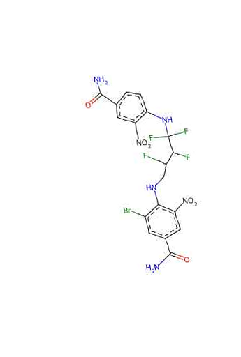 NC(=O)c1ccc(NC(F)(F)C(F)C(F)CNc2c(Br)cc(C(N)=O)cc2[N+](=O)[O-])c([N+](=O)[O-])c1